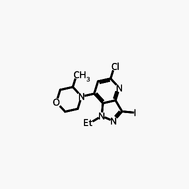 CCn1nc(I)c2nc(Cl)cc(N3CCOCC3C)c21